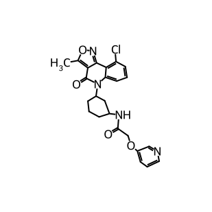 Cc1onc2c1c(=O)n(C1CCCC(NC(=O)COc3cccnc3)C1)c1cccc(Cl)c21